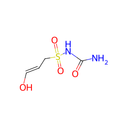 NC(=O)NS(=O)(=O)CC=CO